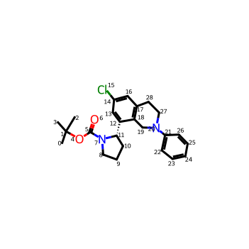 CC(C)(C)OC(=O)N1CCC[C@H]1c1cc(Cl)cc2c1CN(c1ccccc1)CC2